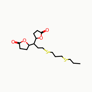 CCCSCCCSCCC(C1CCC(=O)O1)C1CCC(=O)O1